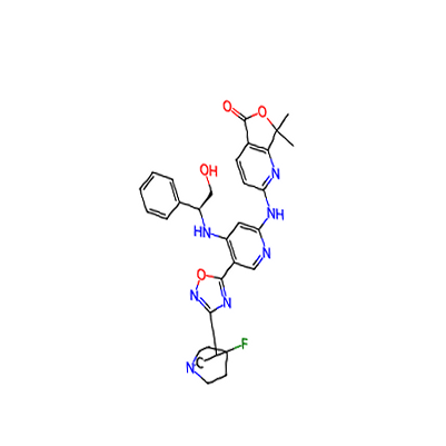 CC1(C)OC(=O)c2ccc(Nc3cc(N[C@H](CO)c4ccccc4)c(-c4nc(C5CN6CCC5(F)CC6)no4)cn3)nc21